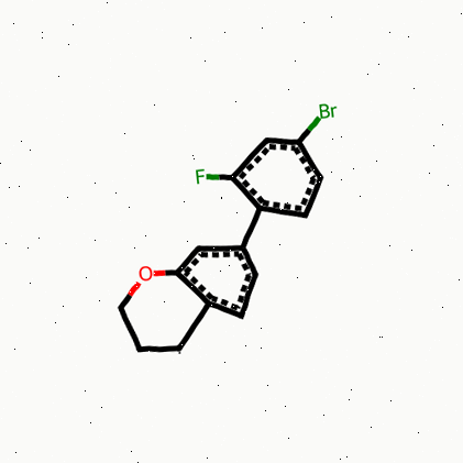 Fc1cc(Br)ccc1-c1ccc2c(c1)OCC[CH]2